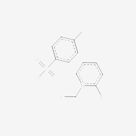 CC[n+]1ccccc1F.Cc1ccc(S(=O)(=O)[O-])cc1